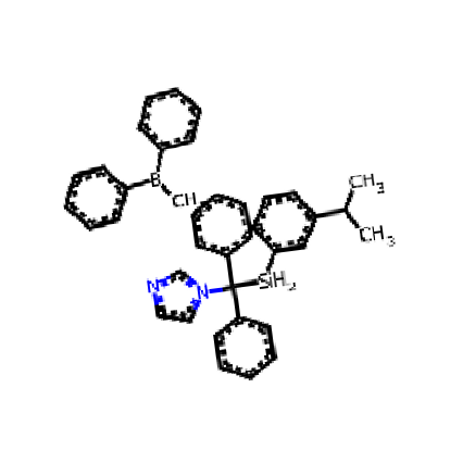 CB(c1ccccc1)c1ccccc1.CC(C)c1cccc([SiH2]C(c2ccccc2)(c2ccccc2)n2ccnc2)c1